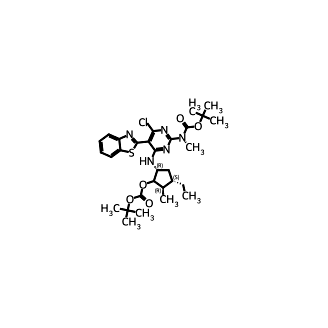 CC[C@H]1C[C@@H](Nc2nc(N(C)C(=O)OC(C)(C)C)nc(Cl)c2-c2nc3ccccc3s2)C(OC(=O)OC(C)(C)C)[C@@H]1C